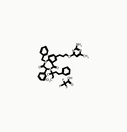 Cc1cc(OCCCc2ccc3c(c2)C(=O)N(C(C)(CCc2ccccc2)CC(=O)O)C(c2ccccc2)C(=O)N3Cc2ccccc2)nc(N)n1.O=C(O)C(F)(F)F